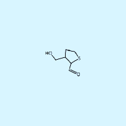 O=CC1SCCC1CO